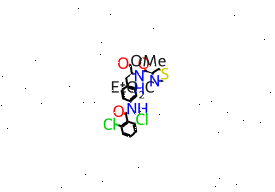 CCOC(=O)N1CSC[C@@H]1C(=O)N[C@@H](Cc1ccc(NC(=O)c2c(Cl)cccc2Cl)cc1)C(=O)OC